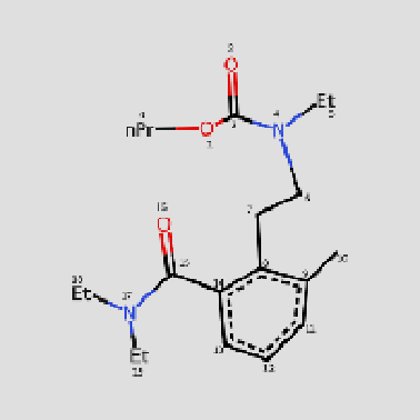 CCCOC(=O)N(CC)CCc1c(C)cccc1C(=O)N(CC)CC